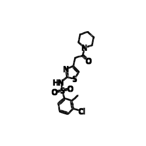 Cc1c(Cl)cccc1S(=O)(=O)Nc1nc(CC(=O)N2CCCCC2)cs1